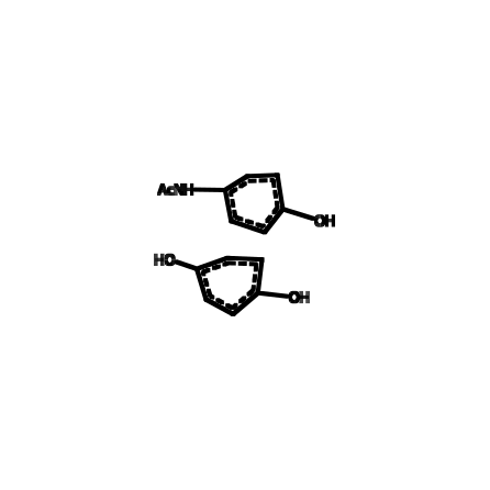 CC(=O)Nc1ccc(O)cc1.Oc1ccc(O)cc1